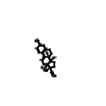 C#C[C@]1(O)CC[C@H]2[C@@H]3CCc4cc(O)ccc4C3=CCC21C